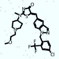 COCCN1CCC(N(C)C2=NC(=O)/C(=C/c3ccc4c(cnn4Cc4ccc(Cl)cc4C(F)(F)F)c3)S2)CC1